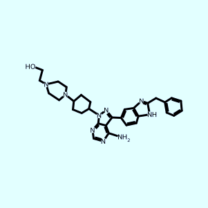 Nc1ncnc2c1c(-c1ccc3[nH]c(Cc4ccccc4)nc3c1)nn2C1CCC(N2CCN(CCO)CC2)CC1